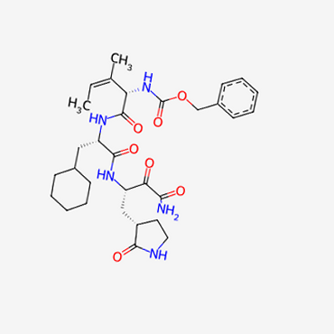 C/C=C(/C)[C@H](NC(=O)OCc1ccccc1)C(=O)N[C@@H](CC1CCCCC1)C(=O)N[C@@H](C[C@@H]1CCNC1=O)C(=O)C(N)=O